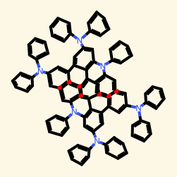 c1ccc(N(c2ccccc2)c2ccc3c(c2)c2cc(N(c4ccccc4)c4ccccc4)cc(N(c4ccccc4)c4ccccc4)c2c2cc4c5ccc(N(c6ccccc6)c6ccccc6)cc5c5cc(N(c6ccccc6)c6ccccc6)cc(N(c6ccccc6)c6ccccc6)c5c4cc32)cc1